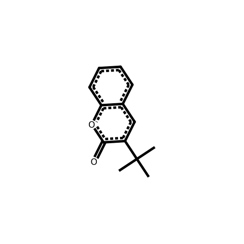 CC(C)(C)c1cc2ccccc2oc1=O